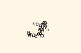 O=C(NC1(C(=O)O)C2CC3CC(C2)CC1C3)c1cnc(N2CC3(CCCCC3)c3cc(OC4CCN(c5cnccn5)CC4)ccc32)nc1C(F)(F)F